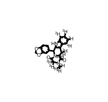 [2H]c1c([2H])c([2H])c2c3c([nH]c2c1[2H])C(c1ccc2c(c1)OCO2)N1C(=O)C([2H])([2H])N(C([2H])([2H])[2H])C(=O)[C@H]1C3([2H])[2H]